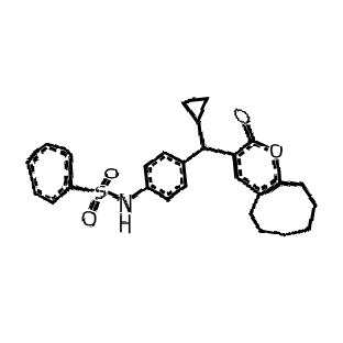 O=c1oc2c(cc1C(c1ccc(NS(=O)(=O)c3ccccc3)cc1)C1CC1)CCCCCC2